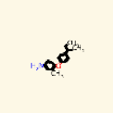 [CH2]CC(CC)c1ccc(Oc2ccc(N)cc2C)cc1